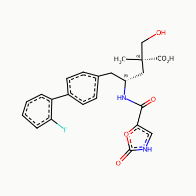 C[C@@](CO)(C[C@@H](Cc1ccc(-c2ccccc2F)cc1)NC(=O)c1c[nH]c(=O)o1)C(=O)O